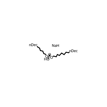 CCCCCCCCCCCCCCCCCCOP(=O)(O)OCCCCCCCCCCCCCCCC.[NaH]